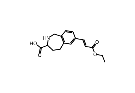 CCOC(=O)C=Cc1ccc2c(c1)CCC(C(=O)O)NC2